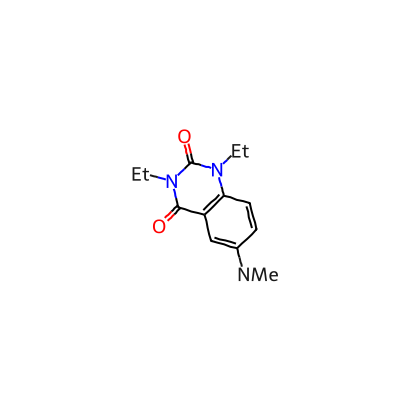 CCn1c(=O)c2cc(NC)ccc2n(CC)c1=O